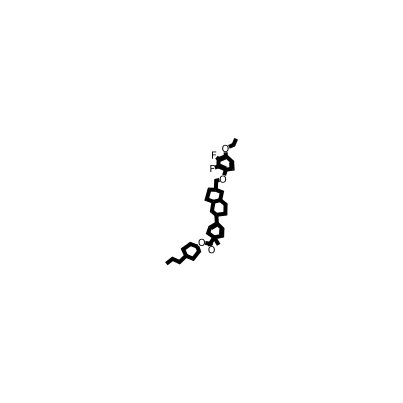 CCCC1CCC(OC(=O)C2(C)C=CC(C3CCC4CC(COc5ccc(OCC)c(F)c5F)CCC4C3)=CC2)CC1